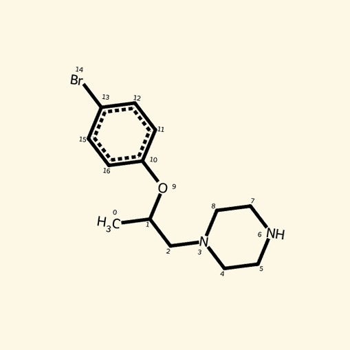 CC(CN1CCNCC1)Oc1ccc(Br)cc1